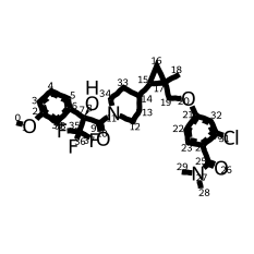 COc1cccc([C@@](O)(C(=O)N2CCC(C3CC3(C)COc3ccc(C(=O)N(C)C)c(Cl)c3)CC2)C(F)(F)F)c1